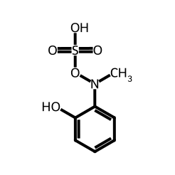 CN(OS(=O)(=O)O)c1ccccc1O